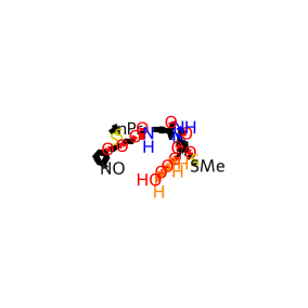 CCCC(C)(C)SSC(COc1cccc(N=O)c1)OCCOCC(=O)NCC#Cc1cn([C@H]2CC(OCSSC)[C@@H](COPOPOPO)O2)c(=O)[nH]c1=O